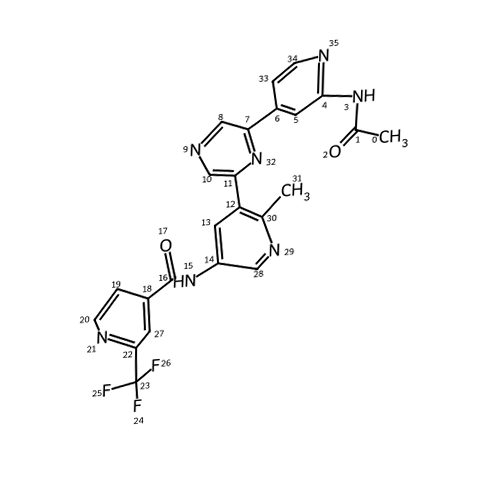 CC(=O)Nc1cc(-c2cncc(-c3cc(NC(=O)c4ccnc(C(F)(F)F)c4)cnc3C)n2)ccn1